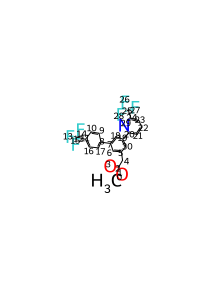 COC(=O)Cc1cc(-c2ccc(C(F)(F)F)cc2)cc(-c2cccc(C(F)(F)F)n2)c1